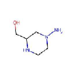 NN1CCNC(CO)C1